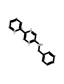 c1ccc(CNc2cnc(-c3ccccn3)cn2)cc1